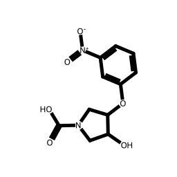 O=C(O)N1CC(O)C(Oc2cccc([N+](=O)[O-])c2)C1